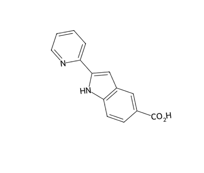 O=C(O)c1ccc2[nH]c(-c3ccccn3)cc2c1